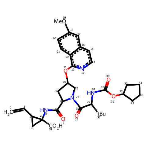 C=CC1CC1(NC(=O)C1CC(Oc2nccc3cc(OC)ccc23)CN1C(=O)C(NC(=O)OC1CCCC1)C(C)(C)C)C(=O)O